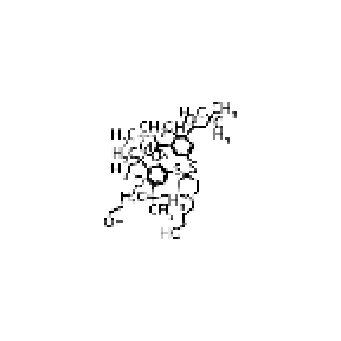 CC(C)(C)CC(=O)c1cc(SC2(Sc3cc(C(C)(C)C)c(OCCCCO)c(C(C)(C)C)c3)CCN(CCCO)CC2)cc(C(=O)CC(C)(C)C)c1O